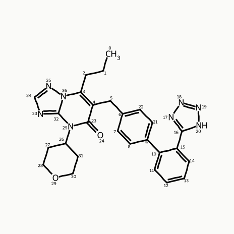 CCCc1c(Cc2ccc(-c3ccccc3-c3nnn[nH]3)cc2)c(=O)n(C2CCOCC2)c2ncnn12